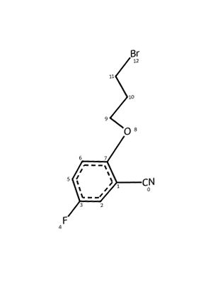 N#Cc1cc(F)ccc1OCCCBr